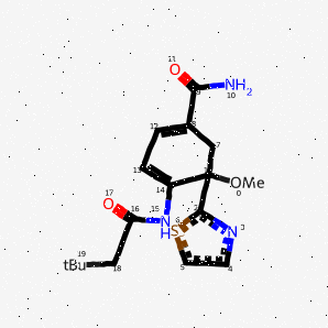 COC1(c2nccs2)CC(C(N)=O)=CC=C1NC(=O)CC(C)(C)C